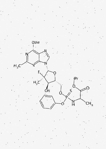 COc1nc(C)nc2c1ncn2[C@@H]1O[C@H](COP(=S)(NC(C)C(=O)OC(C)C)Oc2ccccc2)[C@@H](O)[C@@]1(C)F